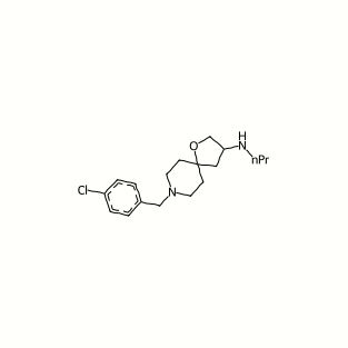 CCCNC1COC2(CCN(Cc3ccc(Cl)cc3)CC2)C1